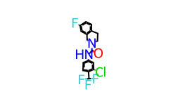 O=C(Nc1ccc(C(F)(F)F)c(Cl)c1)N1CCc2ccc(F)cc2C1